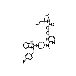 CCCC(C)(C)N(CC(C)C)C(=O)OCOc1ccnc(N(C)C2CCN(c3nc4ccccc4n3Cc3ccc(F)cc3)CC2)n1